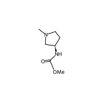 COC(=O)N[C@@H]1CCN(C)C1